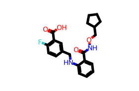 O=C(O)c1cc(CNc2ccccc2C(=O)NOCC2CCCC2)ccc1F